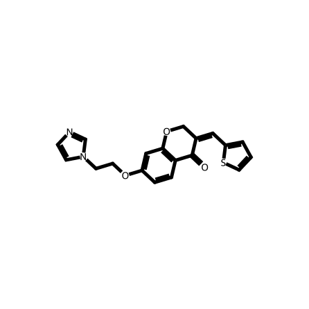 O=C1C(=Cc2cccs2)COc2cc(OCCn3ccnc3)ccc21